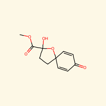 COC(=O)C1(O)CCC2(C=CC(=O)C=C2)O1